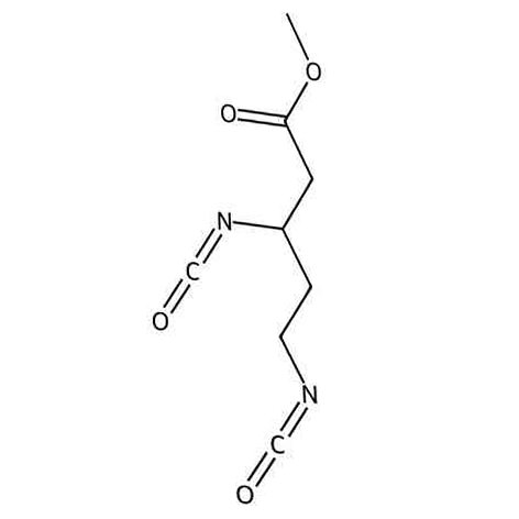 COC(=O)CC(CCN=C=O)N=C=O